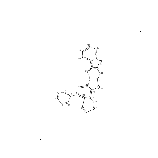 c1ccc(-c2cc3c4cc5c(cc4oc3c3ccccc23)[nH]c2ccccc25)cc1